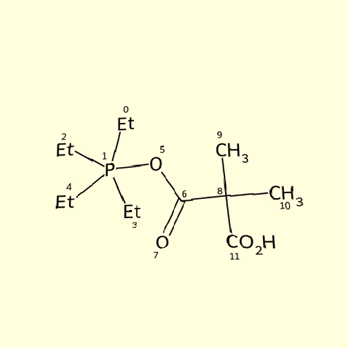 CCP(CC)(CC)(CC)OC(=O)C(C)(C)C(=O)O